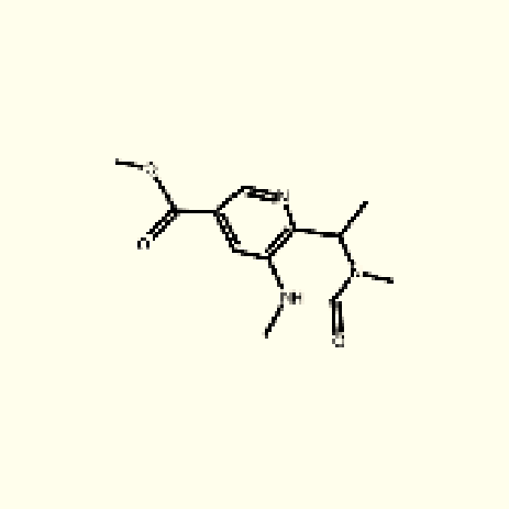 CNc1cc(C(=O)OC)cnc1C(C)N(C)C=O